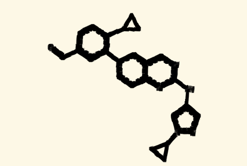 O=Cc1ccc(C2CC2)c(-c2ccc3nc(Nc4cnn(C5CC5)c4)ncc3c2)c1